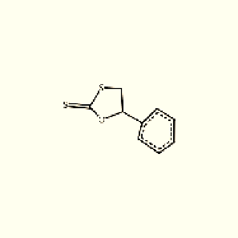 S=C1OC(c2ccccc2)CS1